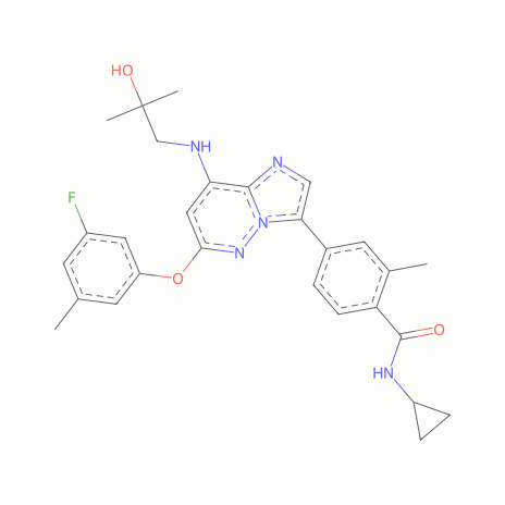 Cc1cc(F)cc(Oc2cc(NCC(C)(C)O)c3ncc(-c4ccc(C(=O)NC5CC5)c(C)c4)n3n2)c1